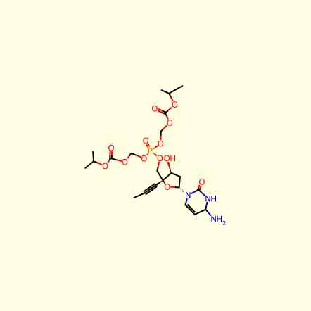 CC#C[C@]1(COP(=O)(OCOC(=O)OC(C)C)OCOC(=O)OC(C)C)O[C@@H](N2C=CC(N)NC2=O)C[C@@H]1O